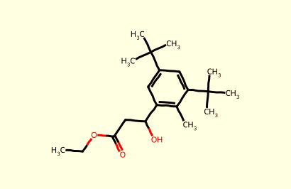 CCOC(=O)CC(O)c1cc(C(C)(C)C)cc(C(C)(C)C)c1C